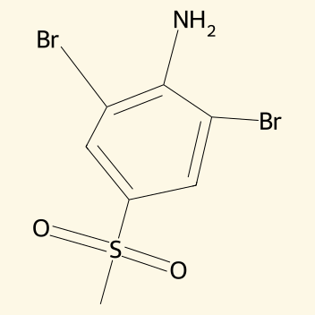 CS(=O)(=O)c1cc(Br)c(N)c(Br)c1